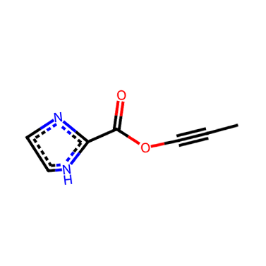 CC#COC(=O)c1ncc[nH]1